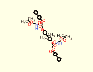 C=C(C)C(=O)OCCNC(=O)OC(COC(=O)c1ccc(-c2ccccc2)cc1)COC1CCC(C(C)(C)C2CCC(OCC(COC(=O)c3ccc(-c4ccccc4)cc3)OC(=O)NCCOC(=O)C(=C)C)CC2)CC1